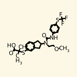 COCCN(C(=O)Nc1ccc(SC(F)(F)F)cc1)C1Cc2ccc(SC(C)(C)C(=O)O)cc2C1